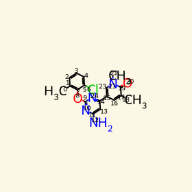 Cc1cccc(Cl)c1Oc1nc(N)cc(-c2cc(C)c(=O)n(C)c2)n1